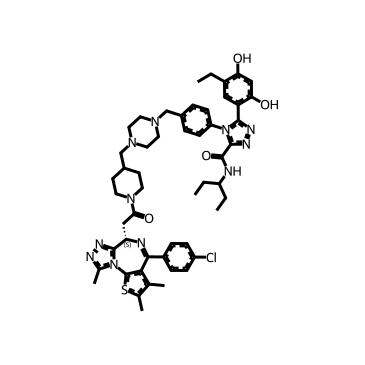 CCc1cc(-c2nnc(C(=O)NC(CC)CC)n2-c2ccc(CN3CCN(CC4CCN(C(=O)C[C@@H]5N=C(c6ccc(Cl)cc6)c6c(sc(C)c6C)-n6c(C)nnc65)CC4)CC3)cc2)c(O)cc1O